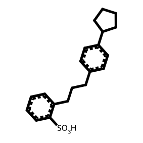 O=S(=O)(O)c1ccccc1CCCc1ccc(C2CCCC2)cc1